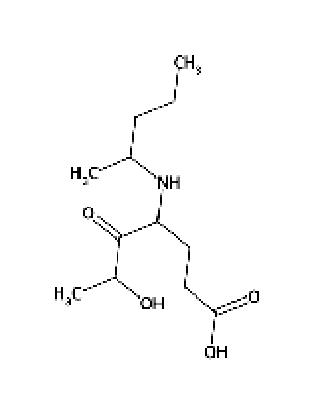 CCCC(C)NC(CCC(=O)O)C(=O)C(C)O